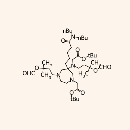 CCCCN(CCCC)C(=O)CCCCC1(N(CCC(C)(C)OC=O)CC(=O)OC(C)(C)C)CN(CCC(C)(C)OC=O)CCN(CC(=O)OC(C)(C)C)C1